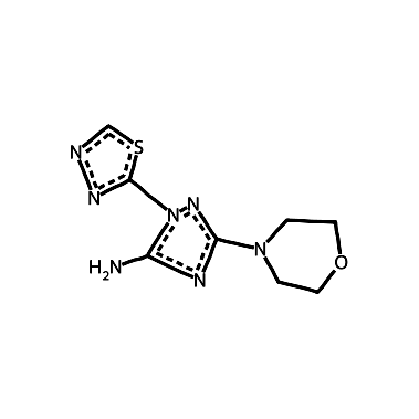 Nc1nc(N2CCOCC2)nn1-c1nncs1